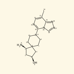 N[C@@H]1C[C@H](O)CC12CCN(c1ncc(I)c3nncn13)CC2